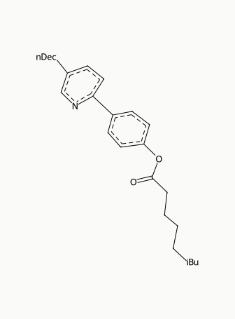 CCCCCCCCCCc1ccc(-c2ccc(OC(=O)CCCCC(C)CC)cc2)nc1